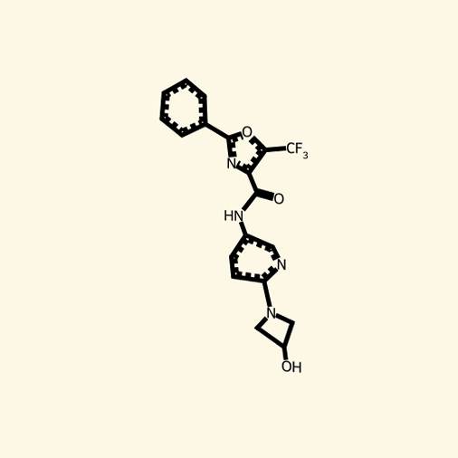 O=C(Nc1ccc(N2CC(O)C2)nc1)c1nc(-c2ccccc2)oc1C(F)(F)F